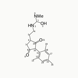 CNC(O)NCCC1CC(=O)C(c2c(C)cc(C)cc2C)C1=O